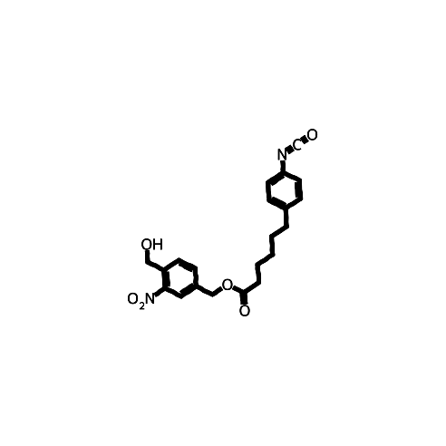 O=C=Nc1ccc(CCCCCC(=O)OCc2ccc(CO)c([N+](=O)[O-])c2)cc1